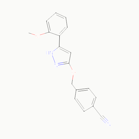 COc1ccccc1-c1cc(OCc2ccc(C#N)cc2)n[nH]1